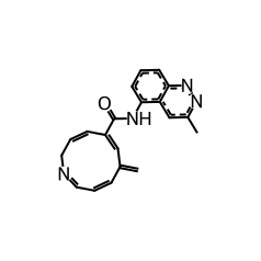 C=C1/C=C\C=N/C/C=C\C(C(=O)Nc2cccc3nnc(C)cc23)=C/1